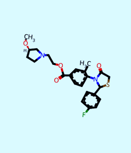 CO[C@@H]1CCN(CCOC(=O)c2ccc(N3C(=O)CSC3c3ccc(F)cc3)c(C)c2)C1